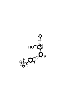 CS(=O)(=O)NC(=O)c1ccc(COc2cc(F)cc(-c3cnc(OCC4CCC4)c(CO)c3)c2)c(F)c1